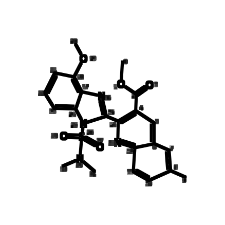 COC(=O)c1cc2cc(C)ccc2nc1-c1nc2c(OC)cccc2n1S(=O)(=O)N(C)C